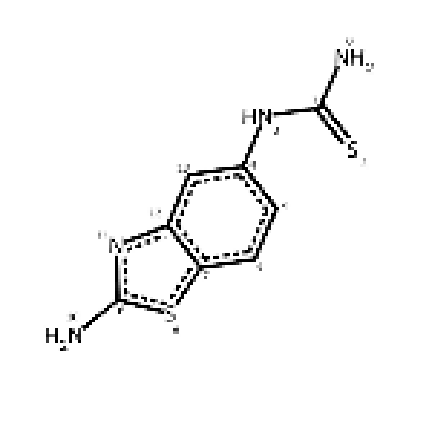 NC(=S)Nc1ccc2sc(N)nc2c1